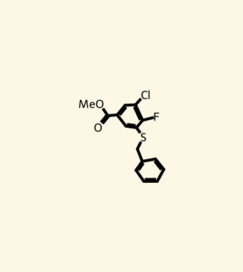 COC(=O)c1cc(Cl)c(F)c(SCc2ccccc2)c1